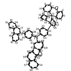 c1ccc2c(c1)Oc1ccccc1C21c2ccccc2-c2c(-c3ccc(N(c4ccc(-c5cc6ccccc6c6ccccc56)cc4)c4ccc5oc6c7ccccc7ccc6c5c4)cc3)cccc21